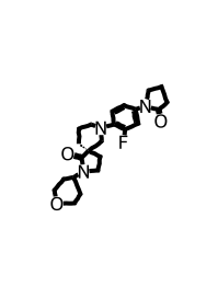 O=C1CCCN1c1ccc(N2CCC[C@@]3(CCN(C4CCOCC4)C3=O)C2)c(F)c1